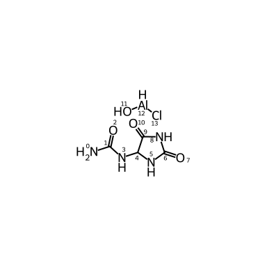 NC(=O)NC1NC(=O)NC1=O.[OH][AlH][Cl]